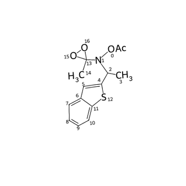 CC(=O)ON(C(C)c1cc2ccccc2s1)C1(C)OO1